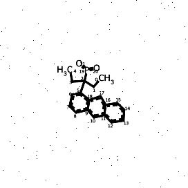 CCC(CC)(c1cccc2cc3ccccc3cc12)P(=O)=O